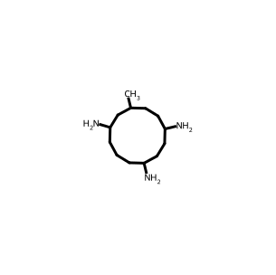 CC1CCC(N)CCC(N)CCCC(N)C1